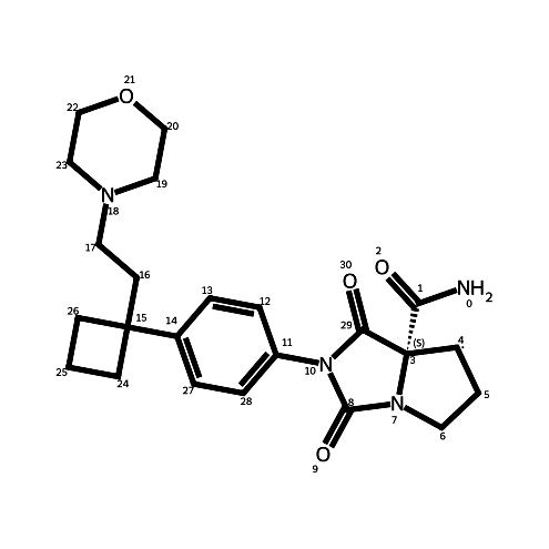 NC(=O)[C@]12[CH]CCN1C(=O)N(c1ccc(C3(CCN4CCOCC4)CCC3)cc1)C2=O